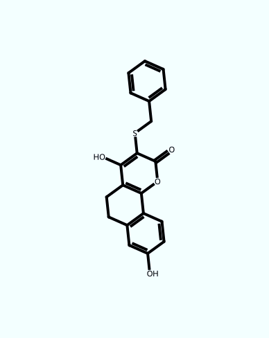 O=c1oc2c(c(O)c1SCc1ccccc1)CCc1cc(O)ccc1-2